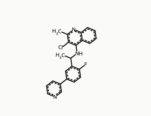 Cc1nc2ccccc2c(NC(C)c2cc(-c3cccnc3)ccc2F)c1Cl